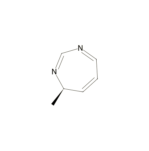 C[C@@H]1C=CC=NC=N1